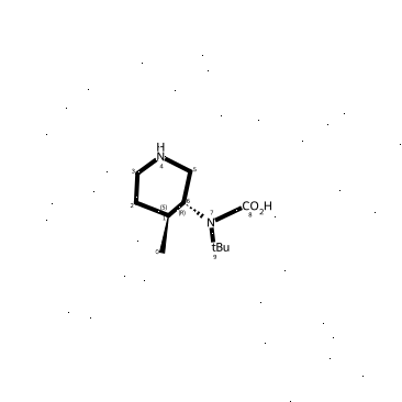 C[C@H]1CCNC[C@@H]1N(C(=O)O)C(C)(C)C